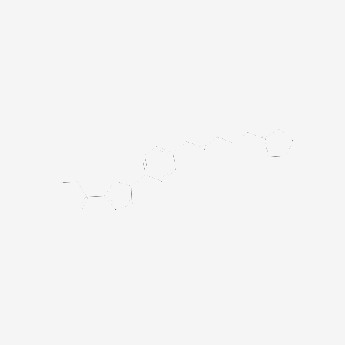 O=C(NO)c1ccc(-c2ccc(CNCCCN3CCCC3)cc2)o1